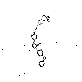 O=c1n(-c2ccc(OCCNCC3CCS(=O)(=O)C3)cc2)ccn1-c1ccc(Oc2ccccc2)cc1